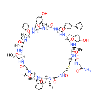 CCCC[C@H]1C(=O)N(C)CC(=O)N[C@@H](CC(=O)O)C(=O)NC(C(C)C)C(=O)N(C)[C@@H](Cc2ccccc2)C(=O)N[C@@H](Cc2ccc(O)cc2)C(=O)N(C)CC(=O)N[C@@H](Cc2ccc(-c3ccccc3)cc2)C(=O)N[C@@H](Cc2ccc(O)cc2)C(=O)N[C@@H](CC(C)C)C(=O)N[C@H](C(=O)NCC(N)=O)CSCC(=O)NCC(=O)N(C)[C@@H](Cc2ccccc2)C(=O)N1C